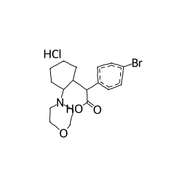 Cl.O=C(O)C(c1ccc(Br)cc1)C1CCCCC1N1CCOCC1